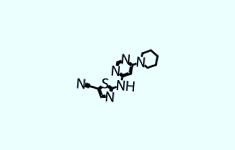 N#Cc1cnc(Nc2cc(N3CCCCC3)ncn2)s1